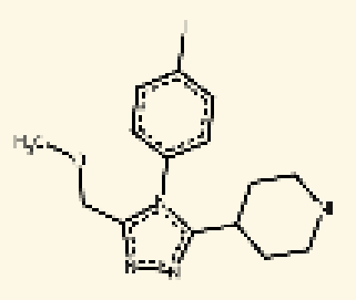 COCc1nnc(C2CCNCC2)n1-c1ccc(I)cc1